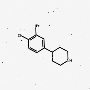 CC(C)c1cc(C2CCNCC2)ccc1Cl